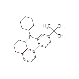 CC(C)(C)c1ccc(-c2ccccc2)c(P(C2CCCCC2)C2CCCCC2)c1